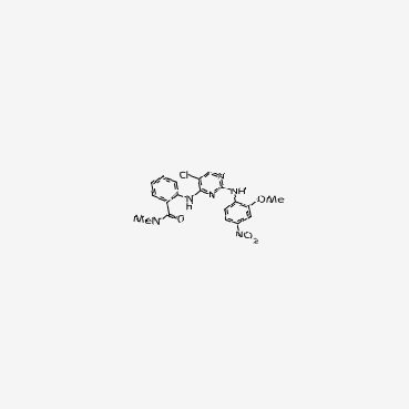 CNC(=O)c1ccccc1Nc1nc(Nc2ccc([N+](=O)[O-])cc2OC)ncc1Cl